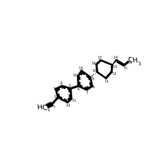 C#Cc1ccc(-c2ccc([C@H]3CC[C@H](/C=C/C)CC3)cc2)cc1